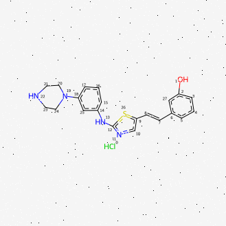 Cl.Oc1cccc(/C=C/c2cnc(Nc3cccc(N4CCNCC4)c3)s2)c1